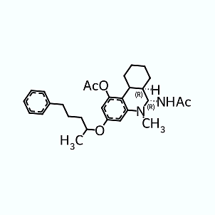 CC(=O)N[C@H]1[C@@H]2CCCCC2c2c(OC(C)=O)cc(OC(C)CCCc3ccccc3)cc2N1C